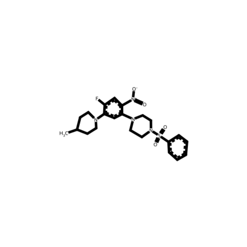 CC1CCN(c2cc(N3CCN(S(=O)(=O)c4ccccc4)CC3)c([N+](=O)[O-])cc2F)CC1